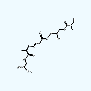 CCC(C)C(=O)OCC(O)COC(=O)CCSCC(C)C(=O)NCC(N)O